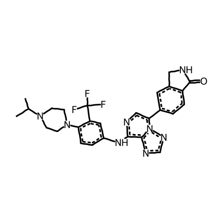 CC(C)N1CCN(c2ccc(Nc3ncc(-c4ccc5c(c4)CNC5=O)n4ncnc34)cc2C(F)(F)F)CC1